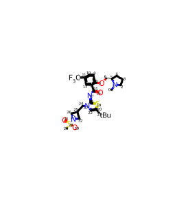 CN1CCC[C@H]1COc1ccc(C(F)(F)F)cc1C(=O)/N=c1\sc(C(C)(C)C)cn1CC1CN(S(C)(=O)=O)C1